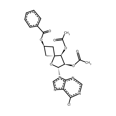 CC(=O)O[C@H]1[C@H](n2cnc3c(Cl)ncnc32)O[C@]2(C[C@@H](OC(=O)c3ccccc3)C2)[C@H]1OC(C)=O